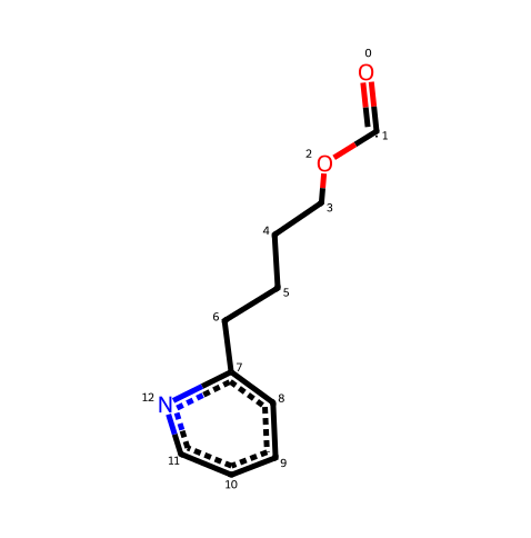 O=[C]OCCCCc1ccccn1